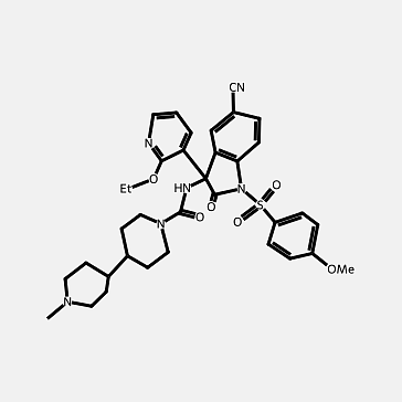 CCOc1ncccc1C1(NC(=O)N2CCC(C3CCN(C)CC3)CC2)C(=O)N(S(=O)(=O)c2ccc(OC)cc2)c2ccc(C#N)cc21